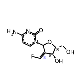 Nc1ccn(C2O[C@H](CO)[C@@H](O)/C2=C/F)c(=O)n1